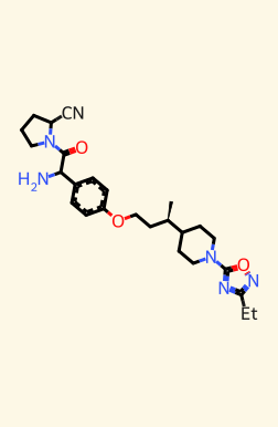 CCc1noc(N2CCC([C@H](C)CCOc3ccc(C(N)C(=O)N4CCCC4C#N)cc3)CC2)n1